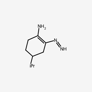 CC(C)C1CCC(N)=C(N=N)C1